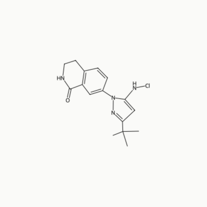 CC(C)(C)c1cc(NCl)n(-c2ccc3c(c2)C(=O)NCC3)n1